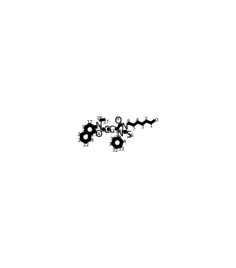 CCCCCCCN1C(=O)C(=C=C=C2Oc3c(ccc4ccccc34)N2CC)N(c2ccccc2)C1=S